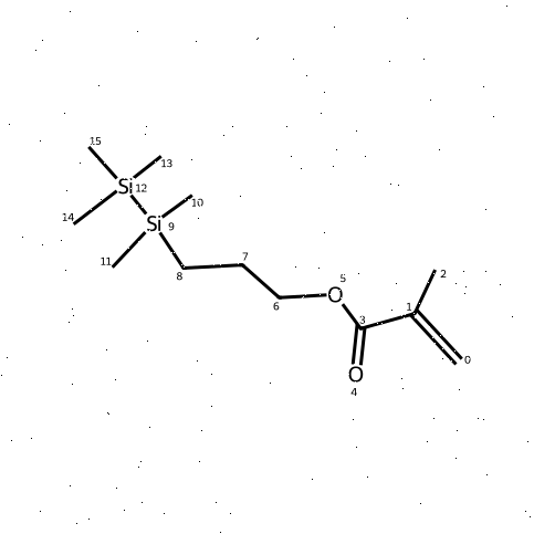 C=C(C)C(=O)OCCC[Si](C)(C)[Si](C)(C)C